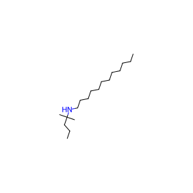 CCCCCCCCCCCCNC(C)(C)CCC